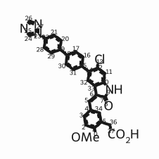 COc1ccc(C=C2C(=O)Nc3cc(Cl)c(-c4ccc(-c5ccc(-n6cncn6)cc5)cc4)cc32)cc1CC(=O)O